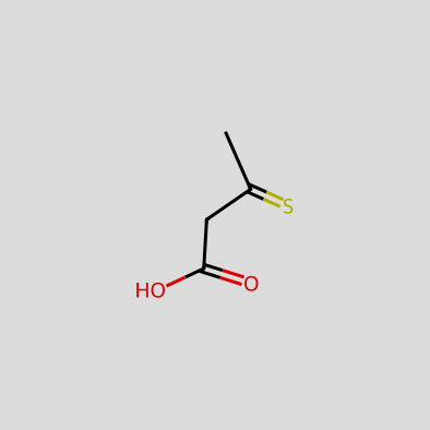 CC(=S)CC(=O)O